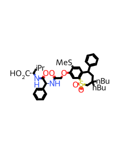 CCCCC1(CCCC)CC(c2ccccc2)c2cc(SC)c(OCC(=O)N[C@@H](C(=O)N[C@H](C(=O)O)C(C)C)c3ccccc3)cc2S(=O)(=O)C1